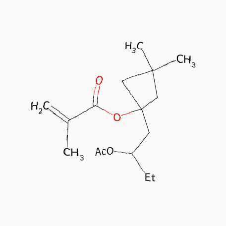 C=C(C)C(=O)OC1(CC(CC)OC(C)=O)CC(C)(C)C1